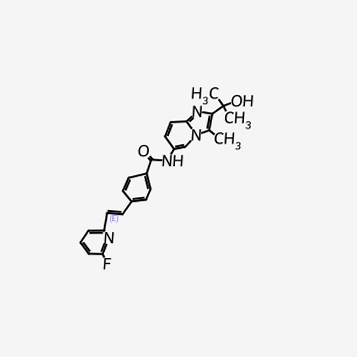 Cc1c(C(C)(C)O)nc2ccc(NC(=O)c3ccc(/C=C/c4cccc(F)n4)cc3)cn12